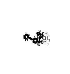 CC(c1nc2cc(C#Cc3ccccn3)ccc2c(=O)n1C)N(C)C1CCC1